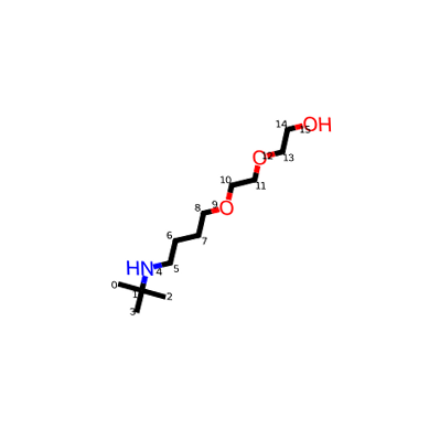 CC(C)(C)NCCCCOCCOCCO